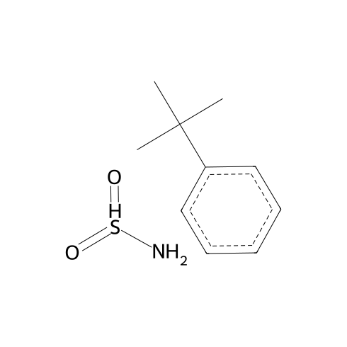 CC(C)(C)c1ccccc1.N[SH](=O)=O